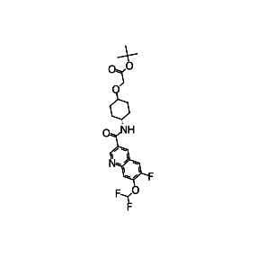 CC(C)(C)OC(=O)CO[C@H]1CC[C@H](NC(=O)c2cnc3cc(OC(F)F)c(F)cc3c2)CC1